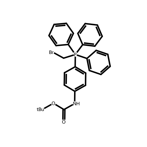 CC(C)(C)OC(=O)Nc1ccc(P(CBr)(c2ccccc2)(c2ccccc2)c2ccccc2)cc1